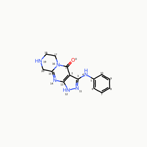 O=c1c2c(Nc3ccccc3)n[nH]c2nc2n1CCNC2